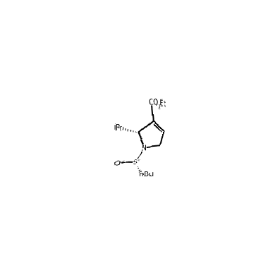 CCCC[S@+]([O-])N1CC=C(C(=O)OCC)[C@H]1C(C)C